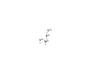 [N-3].[P-3].[Y+3].[Y+3]